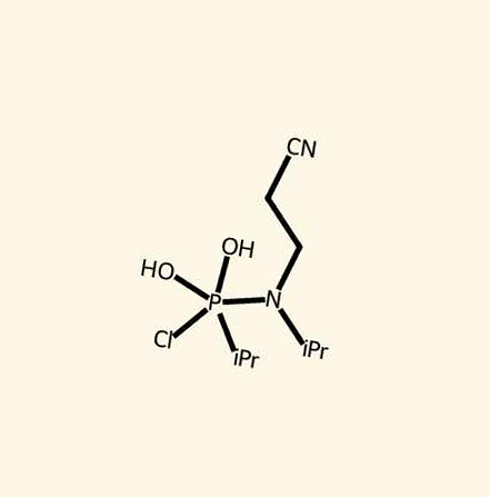 CC(C)N(CCC#N)P(O)(O)(Cl)C(C)C